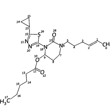 C/C=C/CCCN1CCC(OC(=O)CCCCC)N(c2nnc(C3CC3)s2)C1=O